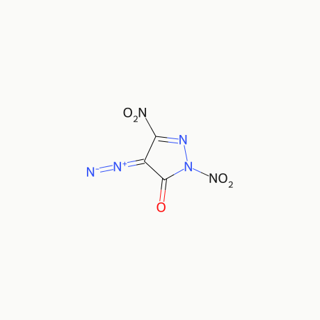 [N-]=[N+]=C1C(=O)N([N+](=O)[O-])N=C1[N+](=O)[O-]